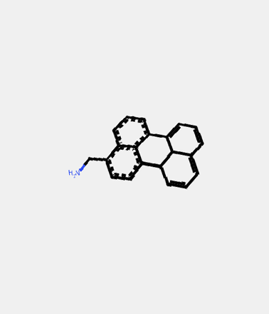 NCc1ccc2c3c(cccc13)C1=CC=CC3=CC=CC2C31